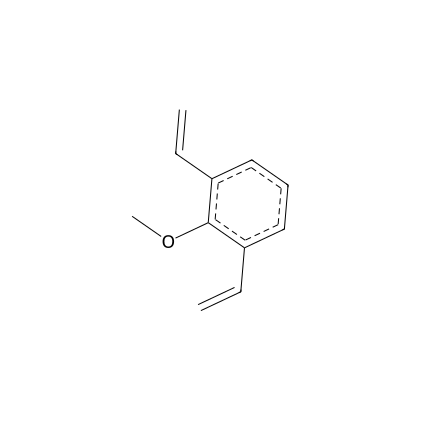 C=Cc1cccc(C=C)c1OC